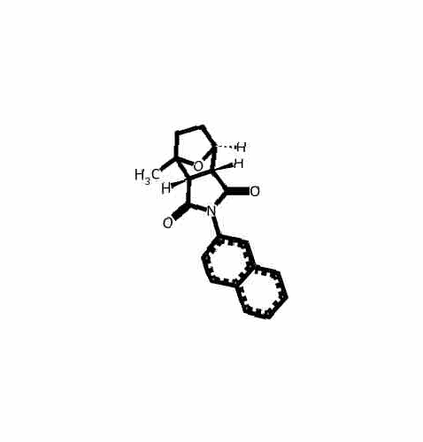 CC12CC[C@H](O1)[C@@H]1C(=O)N(c3ccc4ccccc4c3)C(=O)[C@@H]12